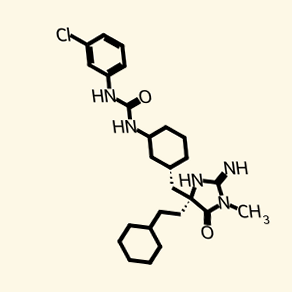 CN1C(=N)N[C@](CCC2CCCCC2)(C[C@H]2CCCC(NC(=O)Nc3cccc(Cl)c3)C2)C1=O